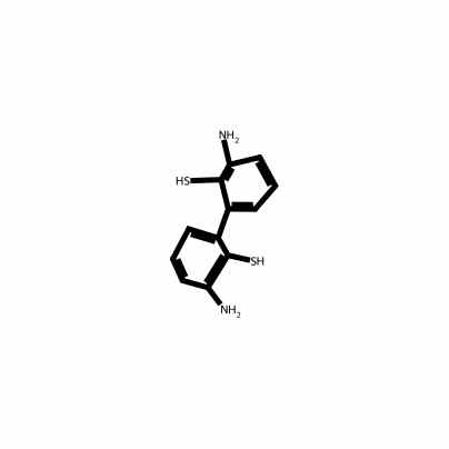 Nc1cccc(-c2cccc(N)c2S)c1S